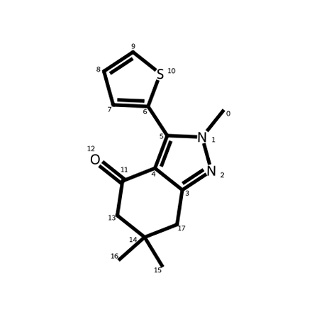 Cn1nc2c(c1-c1cccs1)C(=O)CC(C)(C)C2